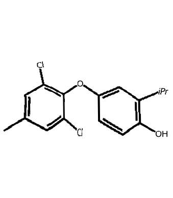 Cc1cc(Cl)c(Oc2ccc(O)c(C(C)C)c2)c(Cl)c1